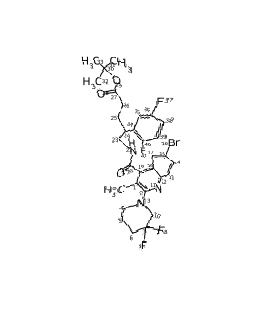 Cc1c(N2CCCC(F)(F)C2)nc2ccc(Br)cc2c1C(=O)NCC(CCC(=O)OC(C)(C)C)c1cc(F)ccc1F